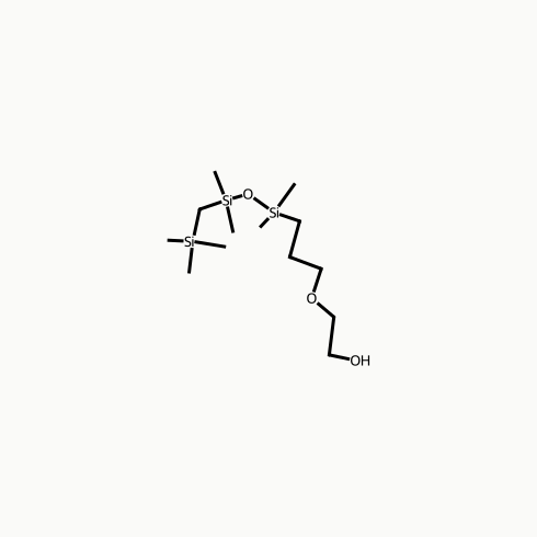 C[Si](C)(C)C[Si](C)(C)O[Si](C)(C)CCCOCCO